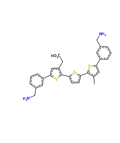 Cc1cc(-c2cccc(CN)c2)sc1-c1ccc(-c2sc(-c3cccc(CN)c3)cc2CC(=O)O)s1